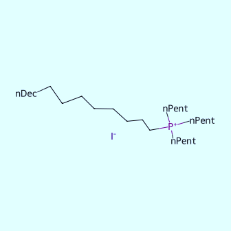 CCCCCCCCCCCCCCCCCC[P+](CCCCC)(CCCCC)CCCCC.[I-]